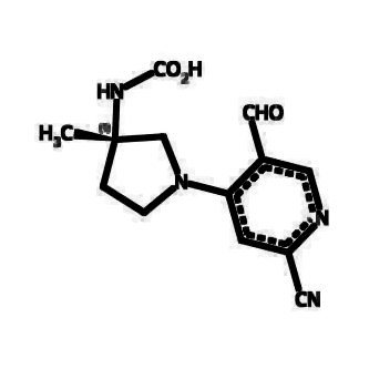 C[C@]1(NC(=O)O)CCN(c2cc(C#N)ncc2C=O)C1